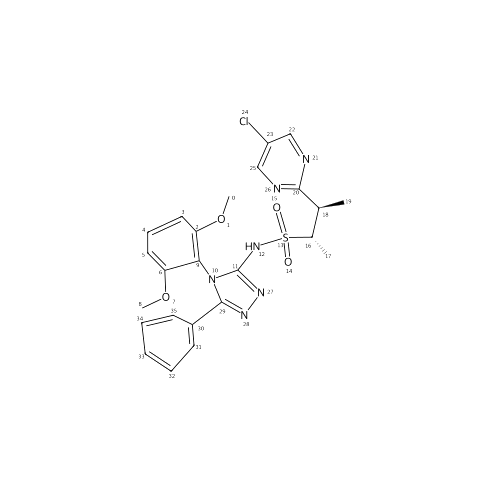 COc1cccc(OC)c1-n1c(NS(=O)(=O)[C@@H](C)[C@H](C)c2ncc(Cl)cn2)nnc1-c1ccccc1